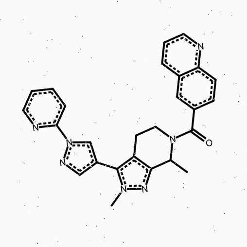 CC1c2nn(C)c(-c3cnn(-c4ccccn4)c3)c2CCN1C(=O)c1ccc2ncccc2c1